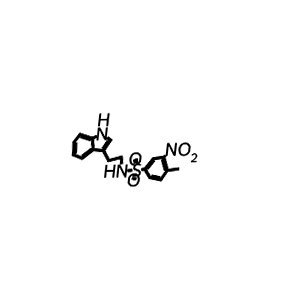 Cc1ccc(S(=O)(=O)NCCc2c[nH]c3ccccc23)cc1[N+](=O)[O-]